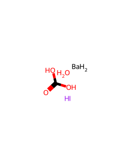 I.O.O=C(O)O.[BaH2]